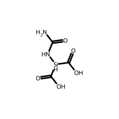 NC(=O)N[SiH](C(=O)O)C(=O)O